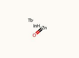 [InH3].[O]=[Zn].[Tb]